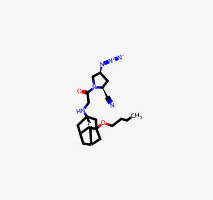 CCCCOC12CC3CC(CC(NCC(=O)N4C[C@@H](N=[N+]=[N-])C[C@H]4C#N)(C3)C1)C2